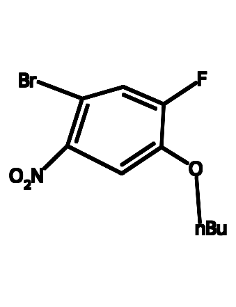 CCCCOc1cc([N+](=O)[O-])c(Br)cc1F